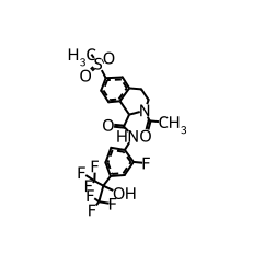 CC(=O)N1CCc2cc(S(C)(=O)=O)ccc2C1C(=O)Nc1ccc(C(O)(C(F)(F)F)C(F)(F)F)cc1F